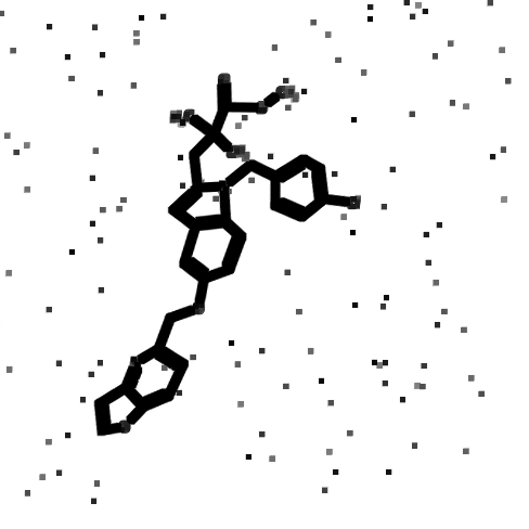 COC(=O)C(C)(C)Cc1cc2cc(OCc3ccc4occc4n3)ccc2n1Cc1ccc(Cl)cc1